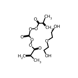 C=C(C)C(=O)OOC(=O)OOC(=O)C(=C)C.OCCOCCO